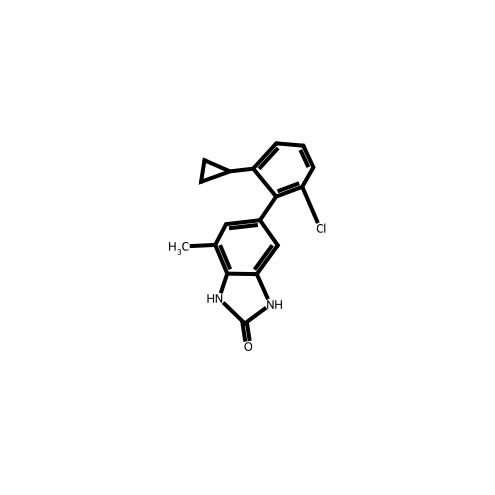 Cc1cc(-c2c(Cl)cccc2C2CC2)cc2[nH]c(=O)[nH]c12